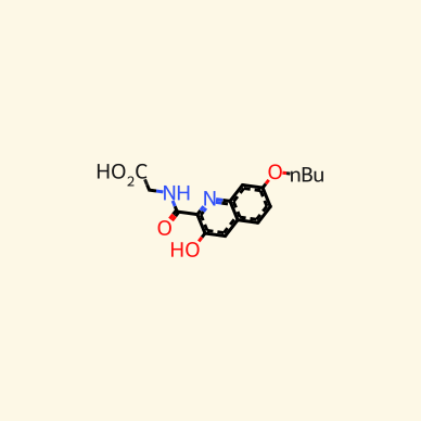 CCCCOc1ccc2cc(O)c(C(=O)NCC(=O)O)nc2c1